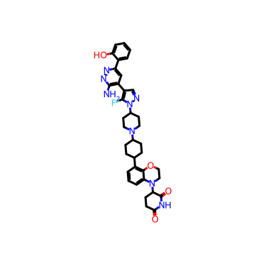 Nc1nnc(-c2ccccc2O)cc1-c1cnn(C2CCN(C3CCC(c4cccc5c4OCCN5C4CCC(=O)NC4=O)CC3)CC2)c1F